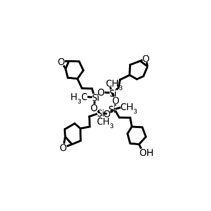 C[Si]1(CCC2CCC(O)CC2)O[Si](C)(CCC2CCC3OC3C2)O[Si](C)(CCC2CCC3OC3C2)O[Si](C)(CCC2CCC3OC3C2)O1